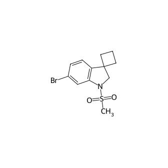 CS(=O)(=O)N1CC2(CCC2)c2ccc(Br)cc21